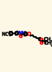 C=C(C)C(=O)OCCCCCCCOc1ccc(C(=O)Nc2ccc(-c3ccc(C#N)cc3)cc2)cc1